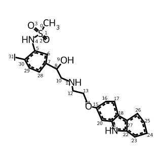 CS(=O)(=O)Nc1cc(C(O)CNCCOc2ccc3c(c2)[nH]c2ccccc23)ccc1I